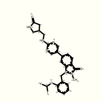 Cn1c(=O)c2ccc(-c3cnc(NCC4CNC(=O)C4)nc3)cc2n1Cc1ccccc1OC(F)F